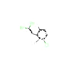 CCc1ccc(Cl)c(CC)c1C=C(Br)Br